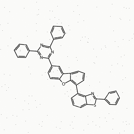 c1ccc(-c2nc(-c3ccccc3)nc(-c3ccc4oc5c(-c6cccc7sc(-c8ccccc8)nc67)cccc5c4c3)n2)cc1